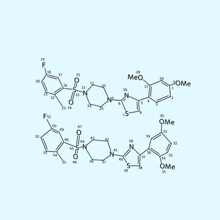 COc1ccc(-c2csc(N3CCN(S(=O)(=O)c4cc(F)ccc4C)CC3)n2)c(OC)c1.COc1ccc(OC)c(-c2csc(N3CCN(S(=O)(=O)c4cc(F)ccc4C)CC3)n2)c1